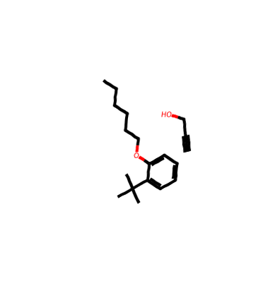 C#CCO.CCCCCCOc1ccccc1C(C)(C)C